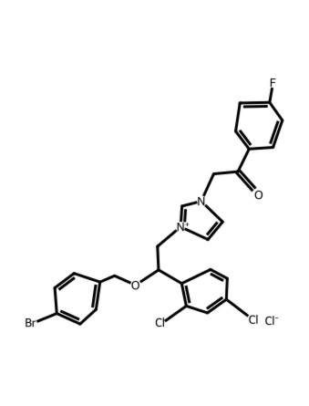 O=C(Cn1cc[n+](CC(OCc2ccc(Br)cc2)c2ccc(Cl)cc2Cl)c1)c1ccc(F)cc1.[Cl-]